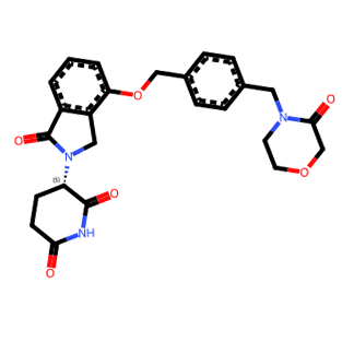 O=C1CC[C@H](N2Cc3c(OCc4ccc(CN5CCOCC5=O)cc4)cccc3C2=O)C(=O)N1